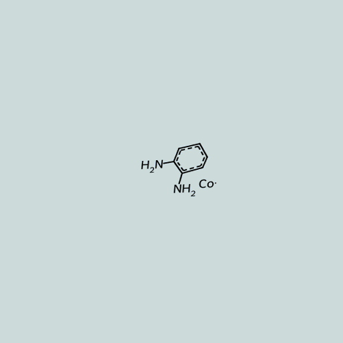 Nc1ccccc1N.[Co]